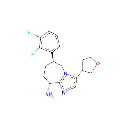 N[C@@H]1CC[C@@H](c2cccc(F)c2F)Cn2c(C3CCOC3)cnc21